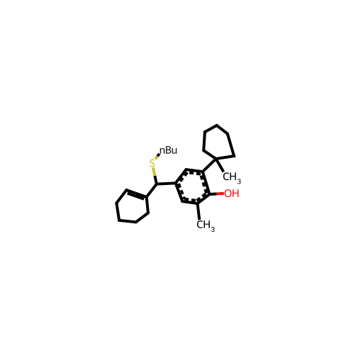 CCCCSC(C1=CCCCC1)c1cc(C)c(O)c(C2(C)CCCCC2)c1